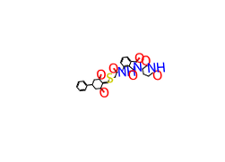 O=C1CCC(N2C(=O)c3cccc(NC(=O)CSC=C4C(=O)CC(c5ccccc5)CC4=O)c3C2=O)C(=O)N1